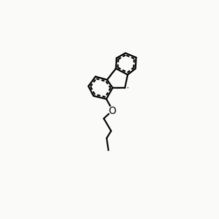 CCCCOc1cccc2c1[CH]c1ccccc1-2